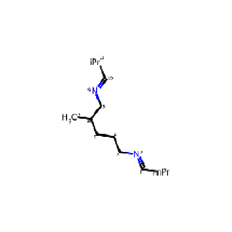 CCCC=NCCCC(C)CN=CC(C)C